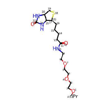 CCCOCCOCCOCCNC(=O)CCCC[C@@H]1SCC2NC(=O)NC21